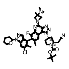 Cc1cc2c(nc(N3CC(C)(N(C)C)C3)c3nnn([C@H]4CCN(C(=O)OC(C)(C)C)[C@H](CC#N)C4)c32)c(F)c1-c1c(C)c(Cl)cc2c1cnn2C1CCCCO1